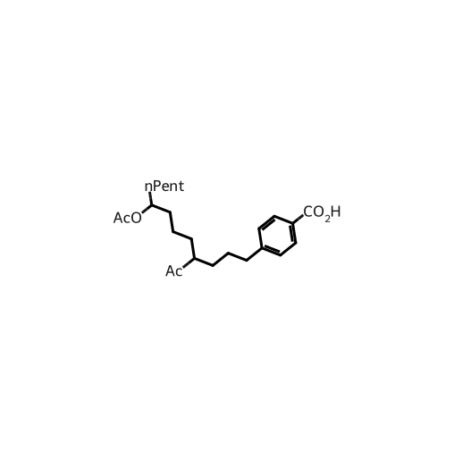 CCCCCC(CCCC(CCCc1ccc(C(=O)O)cc1)C(C)=O)OC(C)=O